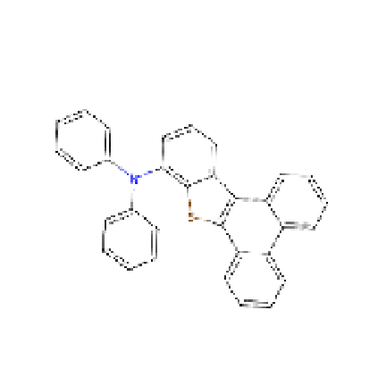 c1ccc(N(c2ccccc2)c2cccc3c2sc2c4ccccc4c4ccccc4c32)cc1